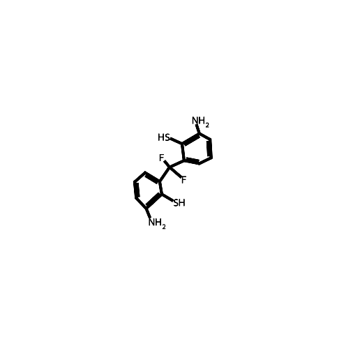 Nc1cccc(C(F)(F)c2cccc(N)c2S)c1S